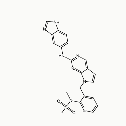 CN(c1ncccc1Cn1ccc2cnc(Nc3ccc4[nH]cnc4c3)nc21)S(C)(=O)=O